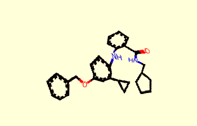 O=C(NCC1CCCC1)c1ccccc1Nc1ccc(OCc2ccccc2)cc1C1CC1